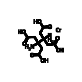 NC(CC(=O)O)(CC(=O)O)C(N)(CC(=O)O)CC(=O)O.[Cr]